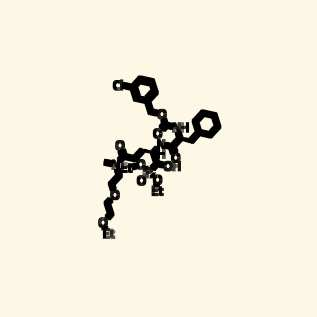 CCOCCOCCN(C)C(=O)CC[C@H](NC(=O)[C@H](CC1CCCCC1)NC(=O)OCc1cccc(Cl)c1)C(O)P(=O)(OCC)OCC